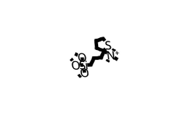 CO[Si](CCCC1([N+](C)(C)C)CCCS1)(OC)OC